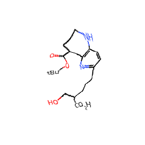 CC(C)(C)OC(=O)C1CCNc2ccc(CCCC(CO)C(=O)O)nc21